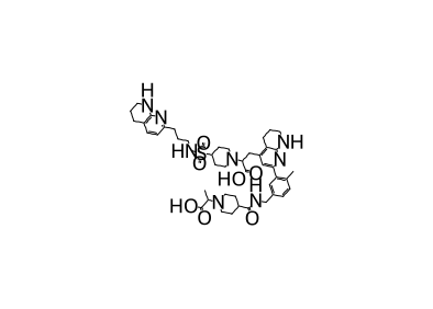 Cc1ccc(CNC(=O)C2CCN(C(C)C(=O)O)CC2)cc1-c1cc(CC(C(=O)O)N2CCC(S(=O)(=O)NCCCc3ccc4c(n3)NCCC4)CC2)c2c(n1)NCCC2